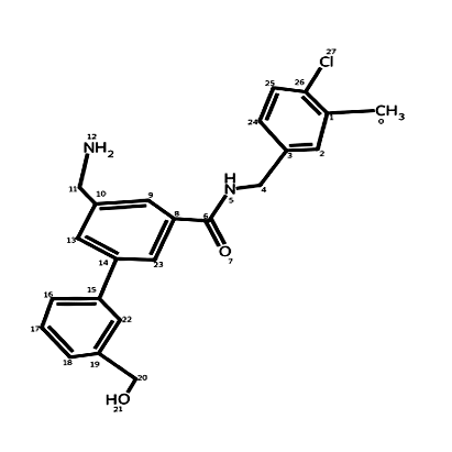 Cc1cc(CNC(=O)c2cc(CN)cc(-c3cccc(CO)c3)c2)ccc1Cl